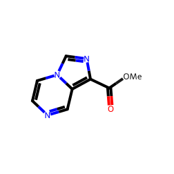 COC(=O)c1ncn2ccncc12